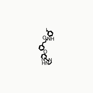 O=C(CCc1cccc(Oc2ccnc(C3=NCCN3)c2)c1)Nc1cccc(I)c1